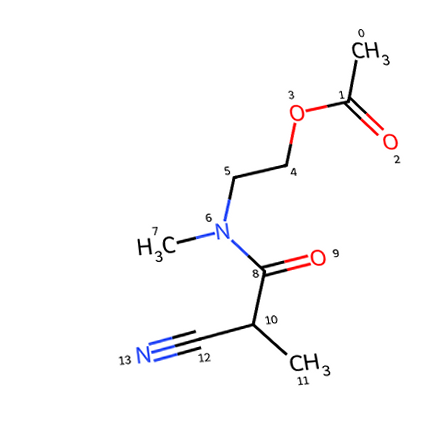 CC(=O)OCCN(C)C(=O)C(C)C#N